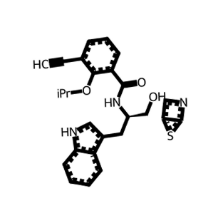 C#Cc1cccc(C(=O)N[C@@H](CO)Cc2c[nH]c3ccccc23)c1OC(C)C.c1nc2sc1-2